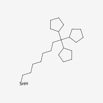 [SnH][CH2]CCCCCCC(C1CCCC1)(C1CCCC1)C1CCCC1